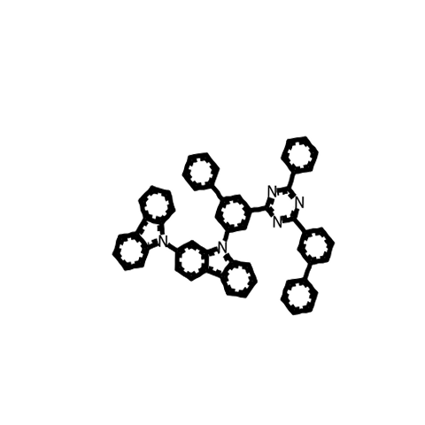 c1ccc(-c2cccc(-c3nc(-c4ccccc4)nc(-c4cc(-c5ccccc5)cc(-n5c6ccccc6c6ccc(-n7c8ccccc8c8ccccc87)cc65)c4)n3)c2)cc1